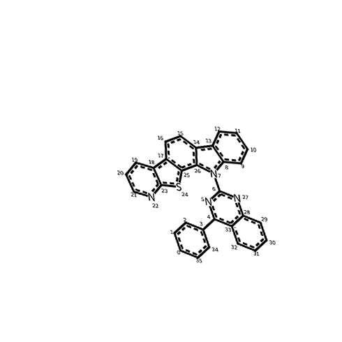 c1ccc(-c2nc(-n3c4ccccc4c4ccc5c6cccnc6sc5c43)nc3ccccc23)cc1